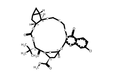 COC(=O)[C@@H]1C[C@@H]2CN1C(=O)[C@H](C(C)(C)C)NC(=O)O[C@@H]1CC3C[C@@H]3[C@H]1CCCCCn1c(nc3cc(Cl)ccc3c1=O)O2